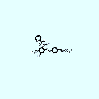 Cc1cc(N(C(C)C)S(=O)(=O)c2ccccn2)c(OCc2ccc(C=CC(=O)O)cc2)cc1Cl